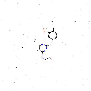 Cc1ccc(Nc2ncc(Br)c(N[C@H](CO)C(C)C)n2)cc1S(=O)(=O)F